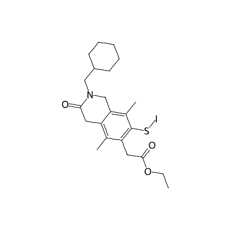 CCOC(=O)Cc1c(C)c2c(c(C)c1SI)CN(CC1CCCCC1)C(=O)C2